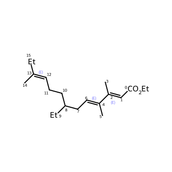 CCOC(=O)/C=C(C)/C(C)=C/CC(CC)CC/C=C(\C)CC